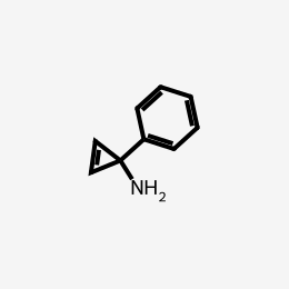 NC1(c2ccccc2)C=C1